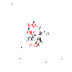 CC(C)(CO)CO.O=C(O)O